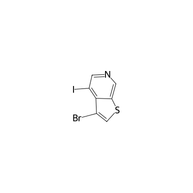 Brc1csc2cncc(I)c12